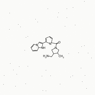 CC1CN(C(=O)c2cccc(C3=CN4C=CC=CC4N3)n2)CC1CN